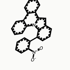 O=[N+]([O-])c1ccccc1-c1cccc2cc3c4ccccc4c4ccccc4n3c12